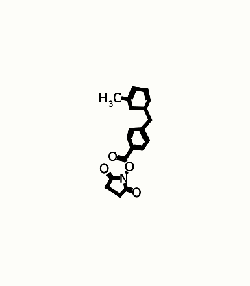 CC1=CC=CC(Cc2ccc(C(=O)ON3C(=O)CCC3=O)cc2)C1